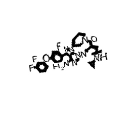 CC(C)(C=C(C#N)C(=O)N1CCC[C@H](n2nc(-c3ccc(Oc4cccc(F)c4F)cc3F)c3c(N)ncnc32)C1)NC1CC1